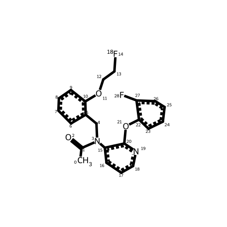 CC(=O)N(Cc1ccccc1OCC[18F])c1cccnc1Oc1ccccc1F